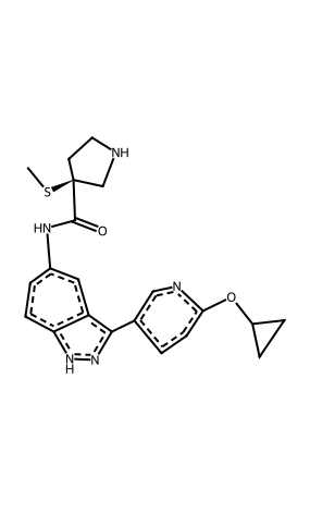 CS[C@@]1(C(=O)Nc2ccc3[nH]nc(-c4ccc(OC5CC5)nc4)c3c2)CCNC1